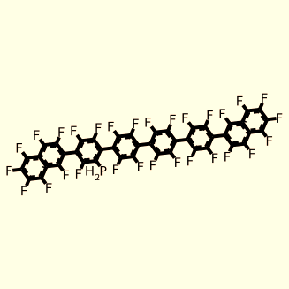 Fc1c(F)c(-c2c(F)c(F)c(-c3c(F)c(F)c4c(F)c(F)c(F)c(F)c4c3F)c(F)c2F)c(F)c(F)c1-c1c(F)c(F)c(-c2c(F)c(F)c(-c3c(F)c(F)c4c(F)c(F)c(F)c(F)c4c3F)c(F)c2P)c(F)c1F